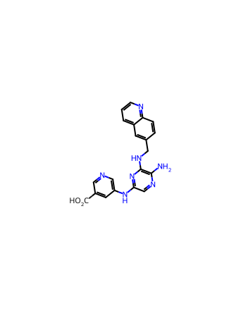 Nc1ncc(Nc2cncc(C(=O)O)c2)nc1NCc1ccc2ncccc2c1